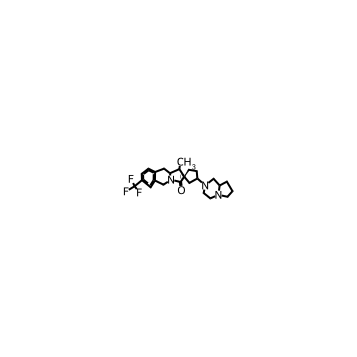 CC1C2Cc3ccc(C(F)(F)F)cc3CN2C(=O)[C@]12CCC(N1CCN3CCCC3C1)C2